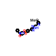 COc1ccnc(CCc2nc3cc(-c4ccc(S(=O)(=O)N5CCC(=O)N(Cc6ccccc6)CC5)cc4)cnc3[nH]2)c1